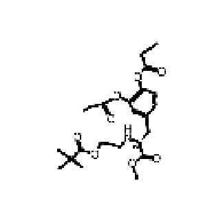 CCC(=O)Oc1ccc(C[C@H](NCCOC(=O)C(C)(C)C)C(=O)OC)cc1OC(=O)CC